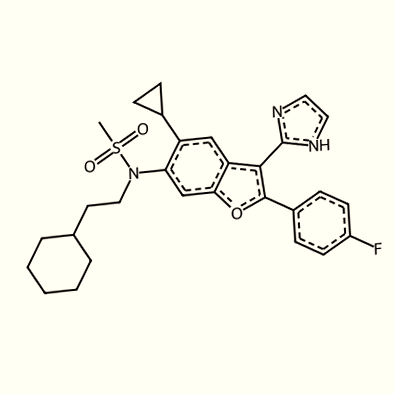 CS(=O)(=O)N(CCC1CCCCC1)c1cc2oc(-c3ccc(F)cc3)c(-c3ncc[nH]3)c2cc1C1CC1